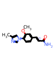 COc1cc(/C=C/C(N)=O)ccc1-n1cnc(C)c1